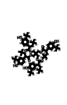 CC(C)(C)CC(C(=O)OCC(COC(=O)C(CC(C)(C)C)c1ccc(O)c(C(C)(C)C)c1)(COC(=O)C(CC(C)(C)C)c1ccc(O)c(C(C)(C)C)c1)COC(=O)C(CC(C)(C)C)c1ccc(O)c(C(C)(C)C)c1)c1ccc(O)c(C(C)(C)C)c1